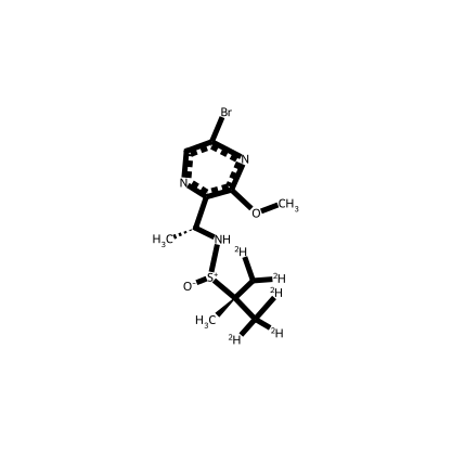 [2H]C([2H])[C@@](C)([S+]([O-])N[C@H](C)c1ncc(Br)nc1OC)C([2H])([2H])[2H]